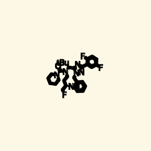 CC(C)(C)[C@H](c1nc(-c2cc(F)ccc2F)nn1Cc1ccccc1)N(CC[C@H](N)CF)C(=O)N1CCCCC1